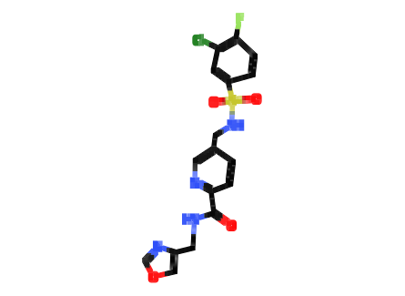 O=C(NCc1cocn1)c1ccc(CNS(=O)(=O)c2ccc(F)c(Cl)c2)cn1